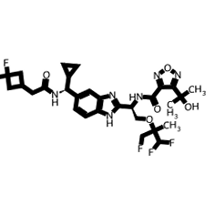 CC(C)(O)c1nonc1C(=O)N[C@@H](COC(C)(CF)C(F)F)c1nc2cc([C@H](NC(=O)CC3CC(F)(F)C3)C3CC3)ccc2[nH]1